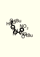 CC(C)(C)OC(=O)NC1CCN(c2cncc(C3CN(C(=O)OC(C)(C)C)c4ccc([N+](=O)[O-])cc43)n2)CC1